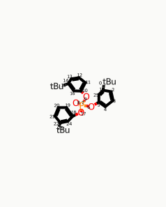 CC(C)(C)c1cccc(OP(=O)(Oc2cccc(C(C)(C)C)c2)Oc2cccc(C(C)(C)C)c2)c1